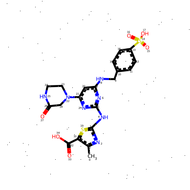 Cc1nc(Nc2nc(NCc3ccc(S(=O)(=O)O)cc3)cc(N3CCNC(=O)C3)n2)sc1C(=O)O